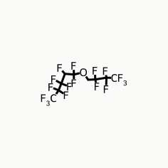 FC(C(F)(F)OCC(F)(F)C(F)(F)C(F)(F)F)C(F)(F)C(F)(F)C(F)(F)F